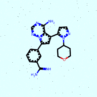 N=C(N)c1cccc(-c2cc(-c3ccnn3C3CCOCC3)c3c(N)ncnn23)c1